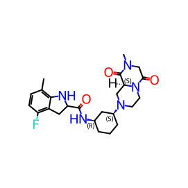 Cc1ccc(F)c2c1NC(C(=O)N[C@@H]1CCC[C@H](N3CCN4C(=O)CN(C)C(=O)[C@@H]4C3)C1)C2